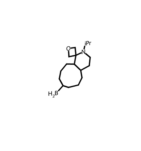 BC1CCCC2CCN(C(C)C)C3(COC3)C2CCC1